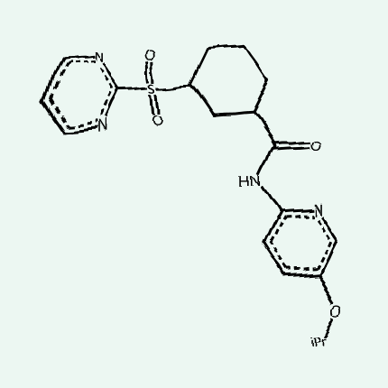 CC(C)Oc1ccc(NC(=O)C2CCCC(S(=O)(=O)c3ncccn3)C2)nc1